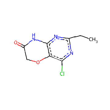 CCc1nc(Cl)c2c(n1)NC(=O)CO2